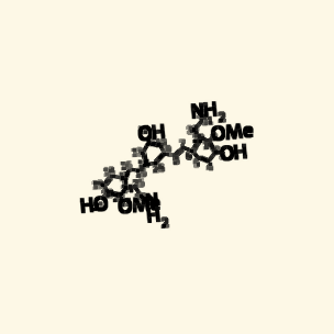 COc1c(O)ccc(/C=C/c2cc(O)cc(CCc3ccc(O)c(OC)c3CCN)c2)c1CCN